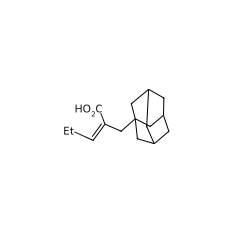 CC/C=C(/CC12CC3CC(CC(C3)C1)C2)C(=O)O